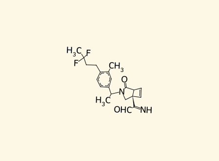 Cc1cc(C(C)N2C[C@@]3(C(=N)C=O)C=CC3C2=O)ccc1CCC(C)(F)F